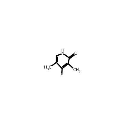 Cc1c[nH]c(=O)c(C)c1F